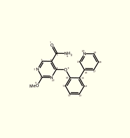 COc1ncc(C(N)=O)c(Oc2ccccc2-c2cccnc2)n1